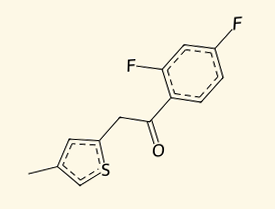 Cc1csc(CC(=O)c2ccc(F)cc2F)c1